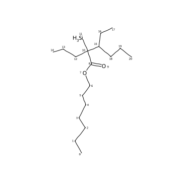 CCCCCCCOC(=O)C([SiH3])(CCC)C(CC)CCC